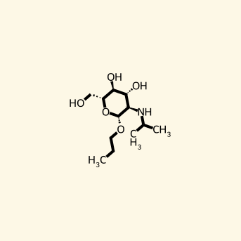 CCCO[C@@H]1O[C@H](CO)[C@@H](O)[C@H](O)[C@H]1NC(C)C